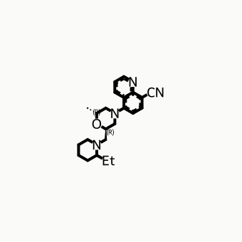 CCC1CCCCN1C[C@@H]1CN(c2ccc(C#N)c3ncccc23)C[C@@H](C)O1